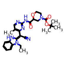 CCN1/C(=C(\C#N)c2nc(NC(=O)C3CN(C(=O)OC(C)(C)C)CCO3)ncc2C)Nc2ccccc21